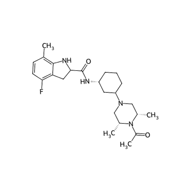 CC(=O)N1[C@H](C)CN(C2CCC[C@@H](NC(=O)C3Cc4c(F)ccc(C)c4N3)C2)C[C@@H]1C